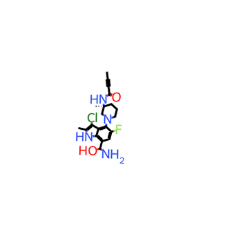 CC#CC(=O)N[C@@]1(C)CCCN(c2c(F)cc(C(N)O)c3[nH]c(C)c(Cl)c23)C1